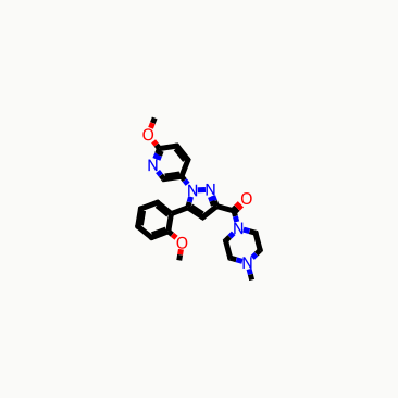 COc1ccc(-n2nc(C(=O)N3CCN(C)CC3)cc2-c2ccccc2OC)cn1